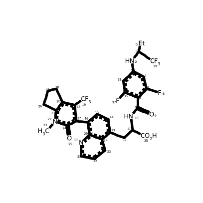 CCC(Nc1cc(F)c(C(=O)NC(Cc2ccc(-c3c(C(F)(F)F)c4c(n(C)c3=O)CCC4)c3ncccc23)C(=O)O)c(F)c1)C(F)(F)F